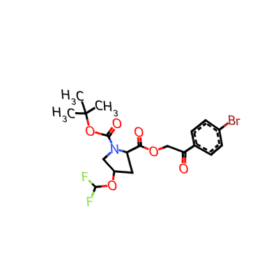 CC(C)(C)OC(=O)N1CC(OC(F)F)CC1C(=O)OCC(=O)c1ccc(Br)cc1